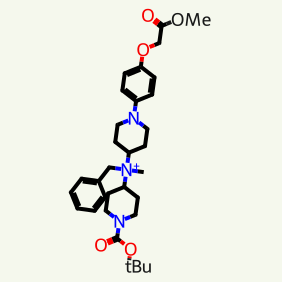 COC(=O)COc1ccc(N2CCC([N+](C)(Cc3ccccc3)C3CCN(C(=O)OC(C)(C)C)CC3)CC2)cc1